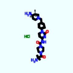 C[C@@H]1CN(Cc2ccc(-n3ccc(NC(=O)N4CCN(C(=O)C(C)(C)N)CC4)nc3=O)cc2)CC[C@H]1N.Cl